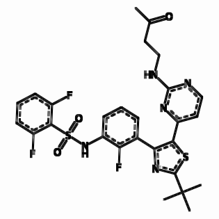 CC(=O)CCNc1nccc(-c2sc(C(C)(C)C)nc2-c2cccc(NS(=O)(=O)c3c(F)cccc3F)c2F)n1